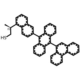 C[C@H](CS)c1cccc2cc(-c3c4ccccc4c(-c4cc5ccccc5c5ccccc45)c4ccccc34)ccc12